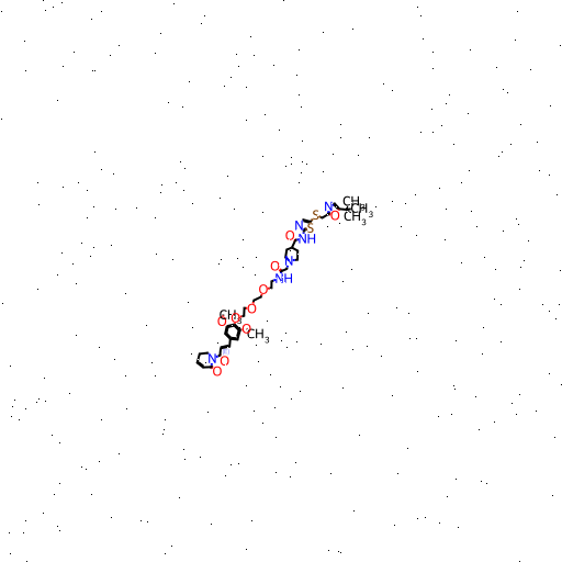 COc1cc(/C=C/C(=O)N2CCC=CC2=O)cc(OC)c1OCCOCCOCCNC(=O)CN1CCC(C(=O)Nc2ncc(SCc3ncc(C(C)(C)C)o3)s2)CC1